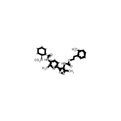 Cc1ccccc1CCOC(=O)Nc1c(C)noc1-c1ccc(NC(=O)[C@H]2CCCC[C@@H]2C(=O)O)c(C)n1